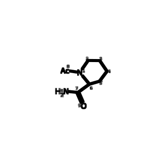 CC(=O)N1CCC[CH]C1C(N)=O